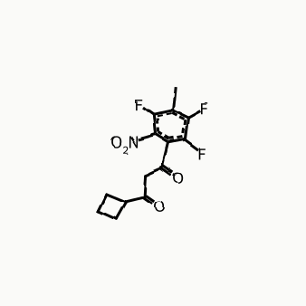 Cc1c(F)c(F)c(C(=O)CC(=O)C2CCC2)c([N+](=O)[O-])c1F